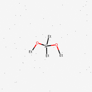 [CH2]C[Si](CC)(OCC)OCC